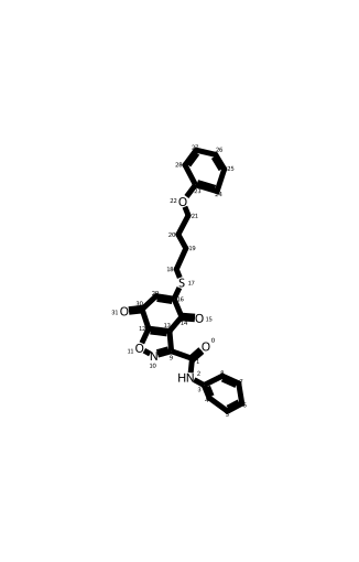 O=C(Nc1ccccc1)c1noc2c1C(=O)C(SCCCCOc1ccccc1)=CC2=O